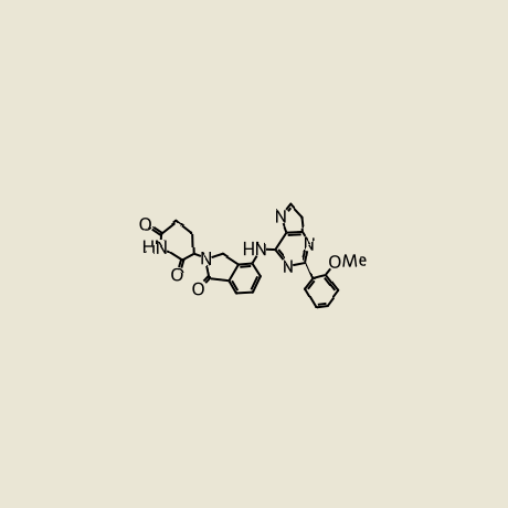 COc1ccccc1-c1nc2c(c(Nc3cccc4c3CN(C3CCC(=O)NC3=O)C4=O)n1)N=CC2